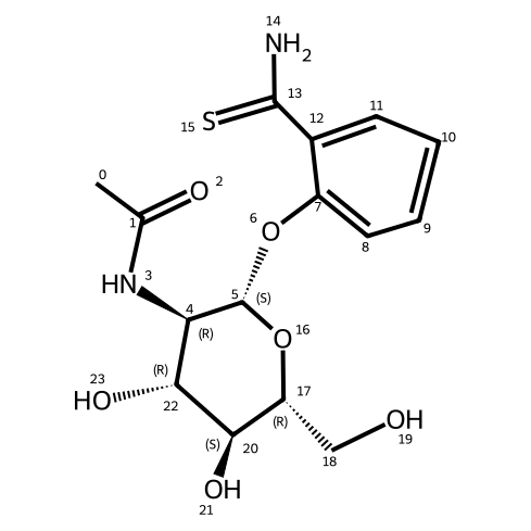 CC(=O)N[C@H]1[C@H](Oc2ccccc2C(N)=S)O[C@H](CO)[C@@H](O)[C@@H]1O